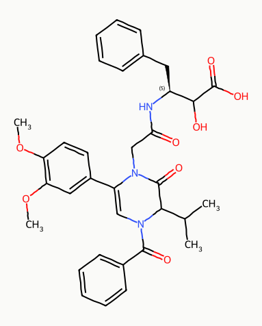 COc1ccc(C2=CN(C(=O)c3ccccc3)C(C(C)C)C(=O)N2CC(=O)N[C@@H](Cc2ccccc2)C(O)C(=O)O)cc1OC